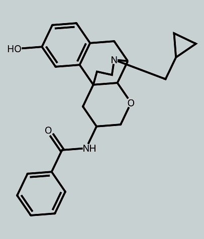 O=C(NC1COC2C3Cc4ccc(O)cc4C2(CCN3CC2CC2)C1)c1ccccc1